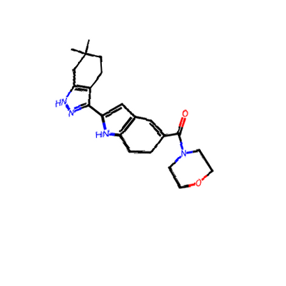 CC1(C)CCc2c(-c3cc4c([nH]3)CCC(C(=O)N3CCOCC3)=C4)n[nH]c2C1